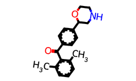 Cc1cccc(C)c1C(=O)c1ccc(C2CNCCO2)cc1